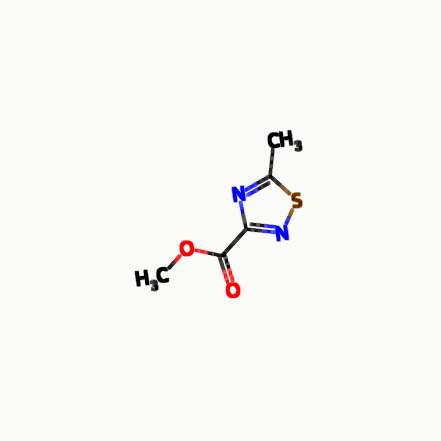 COC(=O)c1nsc(C)n1